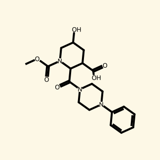 COC(=O)N1CC(O)CC(C(=O)O)C1C(=O)N1CCN(c2ccccc2)CC1